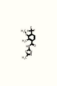 CSc1c(C(F)(F)F)ccc(C(=O)Nc2nnc(C)o2)c1C